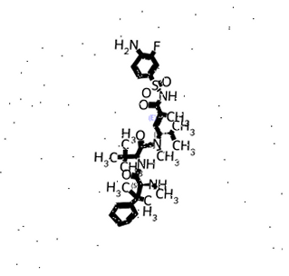 CN[C@H](C(=O)NC(C(=O)N(C)[C@H](/C=C(\C)C(=O)NS(=O)(=O)c1ccc(N)c(F)c1)C(C)C)C(C)(C)C)C(C)(C)c1ccccc1